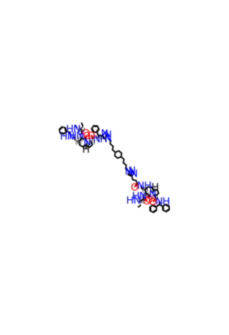 CC[C@H](NC)C(=O)N[C@@H]1C(=O)N2[C@@H](CC[C@@H]1CNC(=O)CCc1cn(CCCCC3CCC(CCCCn4cc([C@@H](NC(=O)[C@@H]5CC[C@@H]6CC[C@H](CCNCc7ccccc7)[C@H](NC(=O)[C@H](CC)NC)C(=O)N65)c5ccccc5)nn4)CC3)nn1)CC[C@H]2C(=O)NC(c1ccccc1)c1ccccc1